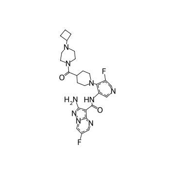 Nc1nn2cc(F)cnc2c1C(=O)Nc1cncc(F)c1N1CCC(C(=O)N2CCN(C3CCC3)CC2)CC1